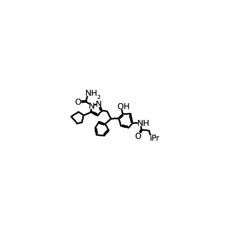 CC(C)CC(=O)Nc1ccc(C(Cc2cc(C3CCCC3)n(C(N)=O)n2)c2ccccc2)c(O)c1